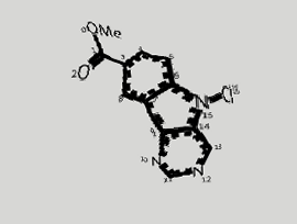 COC(=O)c1ccc2c(c1)c1ncncc1n2Cl